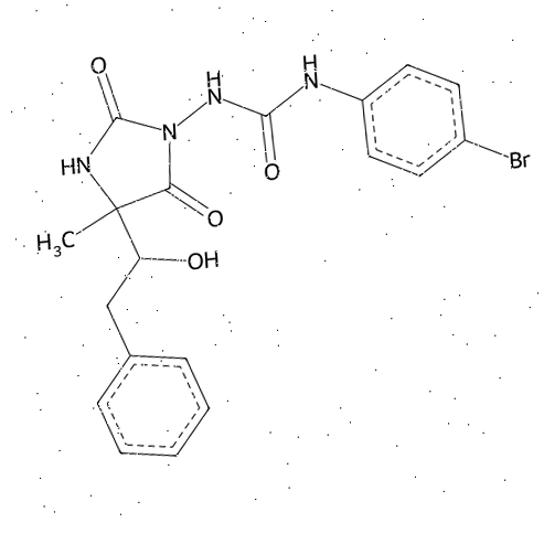 CC1(C(O)Cc2ccccc2)NC(=O)N(NC(=O)Nc2ccc(Br)cc2)C1=O